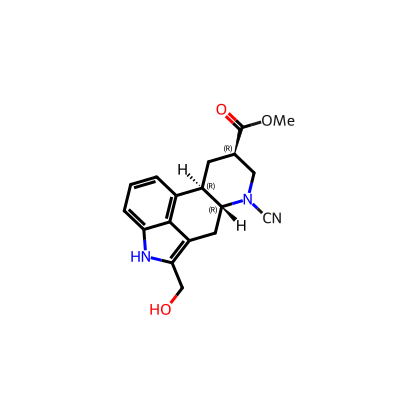 COC(=O)[C@@H]1C[C@@H]2c3cccc4[nH]c(CO)c(c34)C[C@H]2N(C#N)C1